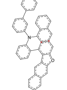 c1ccc(-c2cccc(N(c3ccccc3-c3cccc4oc5cc6ccccc6cc5c34)c3cccc4ccccc34)c2)cc1